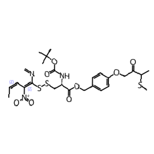 C=N/C(SSCC(NC(=O)OC(C)(C)C)C(=O)OCc1ccc(OCC(=O)C(C)SC)cc1)=C(\C=C/C)[N+](=O)[O-]